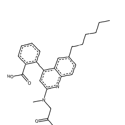 CCCCCCc1ccc2nc(N(C)CC(=O)O)cc(-c3ccccc3C(=O)O)c2c1